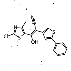 Cc1nc(Cl)sc1C(O)=C(C#N)c1csc(-c2ccccc2)n1